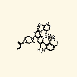 Bc1c(C)ccc(N)c1-c1nc2c(cc1C)c(N1CCN(C(=C)C=C)CC1C)nc(=O)n2-c1c(SC)ccnc1Br